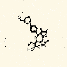 CC[C@H](C(=O)O)C1N=C(c2ccc(-c3cccc(C=O)n3)cc2)c2c(sc(C)c2C)-n2c(C)nnc21